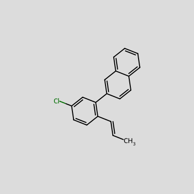 CC=Cc1ccc(Cl)cc1-c1ccc2ccccc2c1